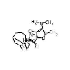 CN(C)c1c(Cl)c(C(=O)N[C@H]2C3CCC[C@@]4(C(N)=O)CC2CC4C3)nn1C